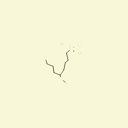 CCOC(CCCCl)CCCC[Si](OC)(OC)OC